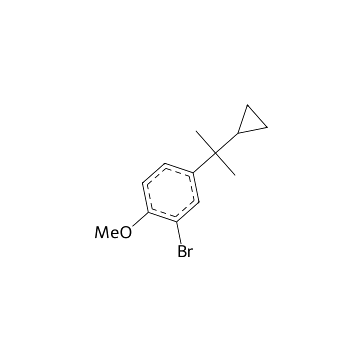 COc1ccc(C(C)(C)C2CC2)cc1Br